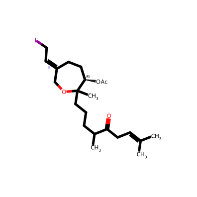 CC(=O)O[C@@H]1CC/C(=C\CI)COC1(C)CCCC(C)C(=O)CC=C(C)C